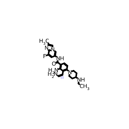 CCNC1CCN(c2ccc(C(=O)Nc3cc(F)c4nc(C)cn4c3)c(N)c2/C=C\N)CC1